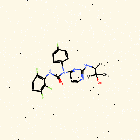 C[C@H](Nc1nccc(N(C(=O)Nc2c(F)ccc(F)c2F)c2ccc(F)cc2)n1)C(C)(C)O